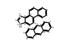 c1ccc2c(c1)ccc1c2ccc2[nH]cnc21.c1ccc2cc3ccccc3cc2c1